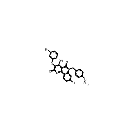 COc1ccc(Cn2c(=O)c3c(O)c(Sc4cccc(Br)c4)c(=O)oc3c3ccc(Cl)cc32)cc1